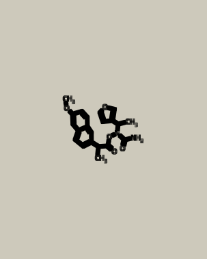 COc1ccc2cc(C(C)C(=O)ON(C(N)=O)C(C)c3ccoc3)ccc2c1